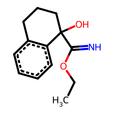 CCOC(=N)C1(O)CCCc2ccccc21